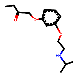 CCC(=O)COc1cccc(OCCNC(C)C)c1